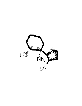 Cc1ccsc1[C@]1(N)CCCC[C@H]1O